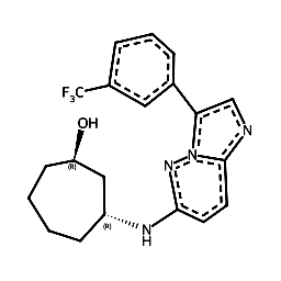 O[C@@H]1CCCC[C@@H](Nc2ccc3ncc(-c4cccc(C(F)(F)F)c4)n3n2)C1